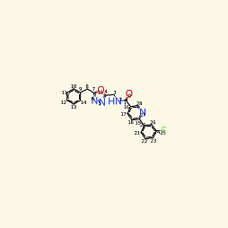 O=C(NCc1nnc(Cc2ccccc2)o1)c1ccc(-c2cccc(F)c2)nc1